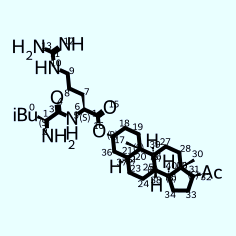 CCC(C)[C@H](N)C(=O)N[C@@H](CCCNC(=N)N)C(=O)O[C@@H]1CC[C@@]2(C)[C@@H](CC[C@@H]3[C@@H]2CC[C@]2(C)[C@@H](C(C)=O)CC[C@@H]32)C1